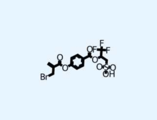 C=C(CBr)C(=O)Oc1ccc(C(=O)OC(CS(=O)(=O)O)C(F)(F)F)cc1